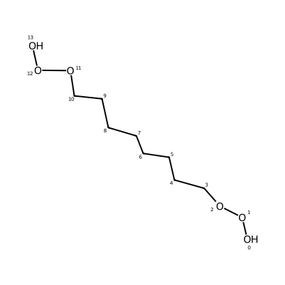 OOOCCCCCCCCOOO